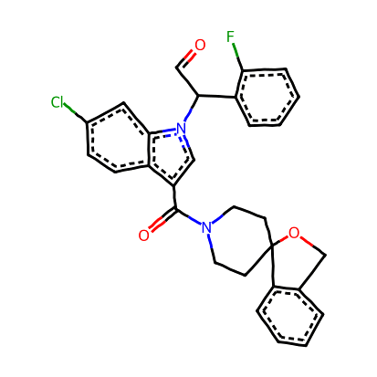 O=CC(c1ccccc1F)n1cc(C(=O)N2CCC3(CC2)OCc2ccccc23)c2ccc(Cl)cc21